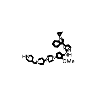 COc1cc(N2CCN(C3CCN(CC4CCNCC4)CC3)CC2)ccc1Nc1nccc(-c2cn(C3CC3)c3ccccc23)n1